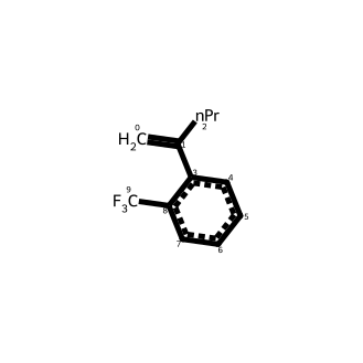 C=C(CCC)c1ccccc1C(F)(F)F